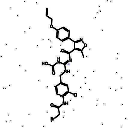 C=CCOc1ccc(-c2noc(C)c2C(=O)/N=C(/NCc2ccc(NC(=O)CBr)c(Cl)c2)NC(=O)O)cc1